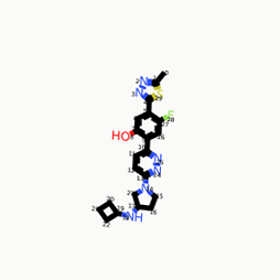 Cc1nnc(-c2cc(O)c(-c3ccc(N4CCC(NC5CCC5)C4)nn3)cc2F)s1